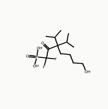 CC(C)C(CCCCO)(C(=O)C(F)(F)P(=O)(O)O)C(C)C